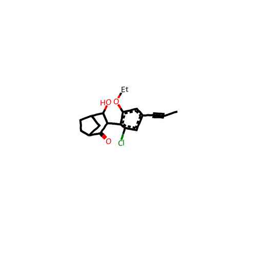 CC#Cc1cc(Cl)c(C2C(=O)C3CCC(C3)C2O)c(OCC)c1